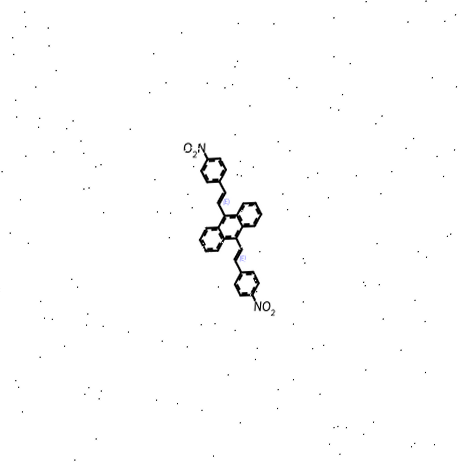 O=[N+]([O-])c1ccc(/C=C/c2c3ccccc3c(/C=C/c3ccc([N+](=O)[O-])cc3)c3ccccc23)cc1